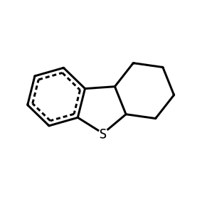 c1ccc2c(c1)SC1CCCCC21